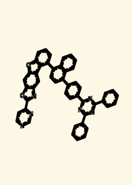 c1ccc(-c2nc(-c3ccccc3)nc(-c3ccc(-c4ccc(-c5cccc6oc7cc8oc(-c9ccncn9)nc8cc7c56)c5ccccc45)cc3)n2)cc1